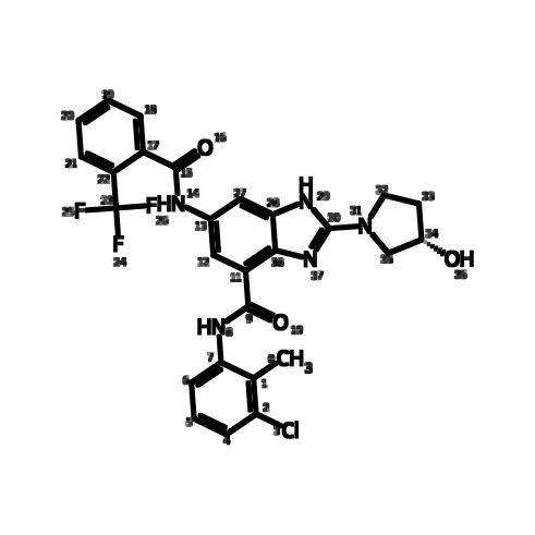 Cc1c(Cl)cccc1NC(=O)c1cc(NC(=O)c2ccccc2C(F)(F)F)cc2[nH]c(N3CC[C@H](O)C3)nc12